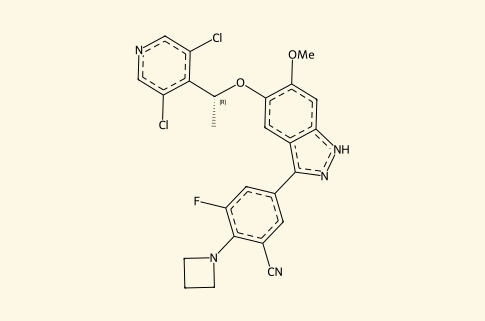 COc1cc2[nH]nc(-c3cc(F)c(N4CCC4)c(C#N)c3)c2cc1O[C@H](C)c1c(Cl)cncc1Cl